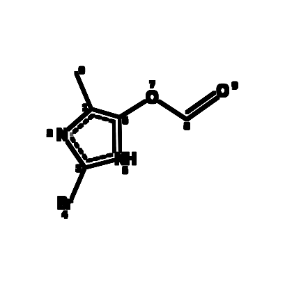 Cc1nc(Br)[nH]c1OC=O